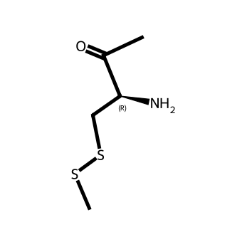 CSSC[C@H](N)C(C)=O